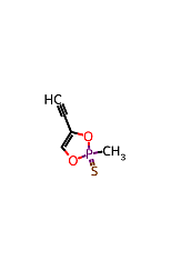 C#CC1=COP(C)(=S)O1